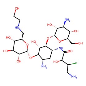 NCC(F)C(O)C(=O)N[C@@H]1C[C@H](N)C(O[C@H]2O[C@H](CNCCO)[C@@H](O)[C@H](O)[C@H]2O)[C@H](O)[C@H]1O[C@H]1O[C@H](CO)[C@@H](O)[C@H](N)[C@H]1O